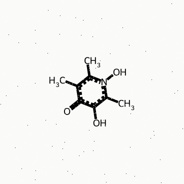 Cc1c(C)n(O)c(C)c(O)c1=O